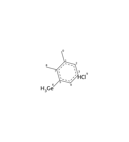 Cc1ccc[c]([GeH3])c1C.Cl